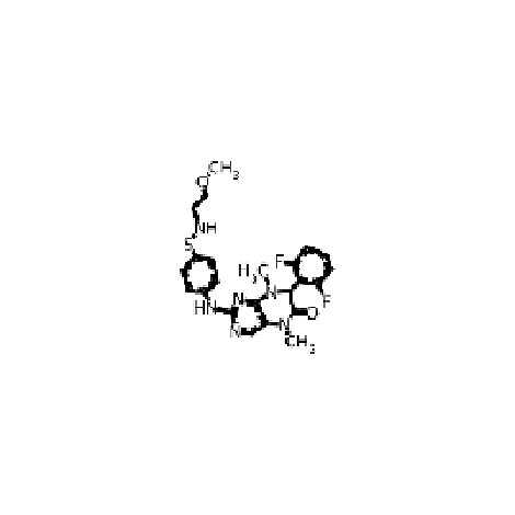 COCCNSc1ccc(Nc2ncc3c(n2)N(C)C(c2c(F)cccc2F)C(=O)N3C)cc1